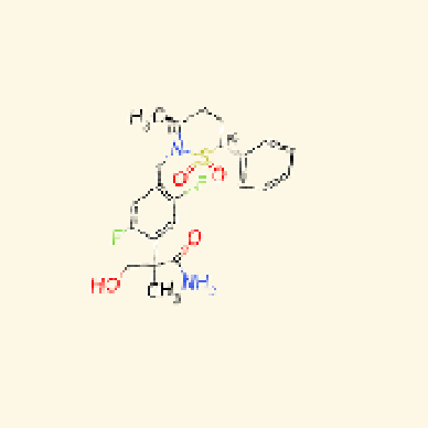 C[C@H]1CC[C@H](c2ccccc2)S(=O)(=O)N1Cc1cc(F)c(C(C)(CO)C(N)=O)cc1F